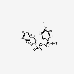 CCC(=NOS(=O)(=O)c1ccc2ccccc2c1)c1ccc(F)cc1